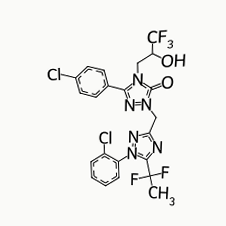 CC(F)(F)c1nc(Cn2nc(-c3ccc(Cl)cc3)n(CC(O)C(F)(F)F)c2=O)nn1-c1ccccc1Cl